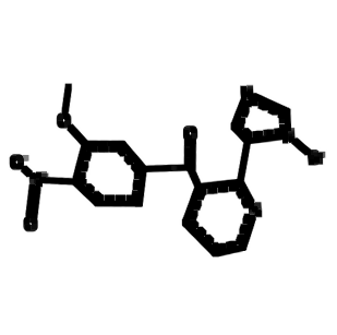 COc1cc(C(=O)c2cccnc2-c2cncn2Br)ccc1[N+](=O)[O-]